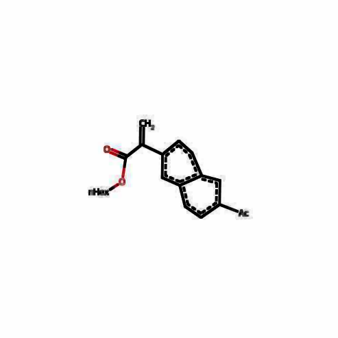 C=C(C(=O)OCCCCCC)c1ccc2cc(C(C)=O)ccc2c1